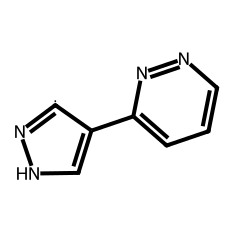 [c]1n[nH]cc1-c1cccnn1